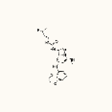 CNc1cc(Nc2cccc3c2OCCO3)nc2c(NC(=O)NCCC(F)F)cnn12